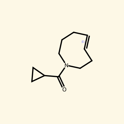 O=C(C1CC1)N1CC/C=C/CCC1